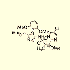 CC[C@@H](C)OCc1nnc(NS(=O)(=O)[C@@H](C)[C@H](OC)c2ncc(Cl)cn2)n1-c1c(OC)cccc1OC